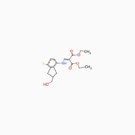 CCOC(=O)C(=CNc1ccc(F)c2c1CC(CO)C2)C(=O)OCC